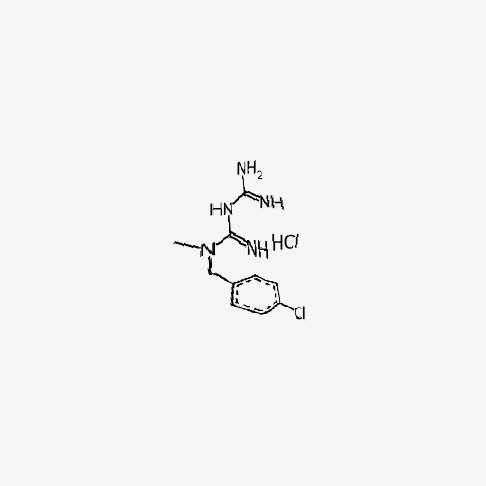 CN(Cc1ccc(Cl)cc1)C(=N)NC(=N)N.Cl